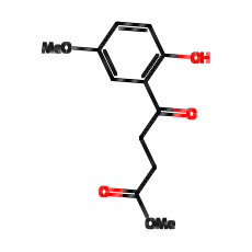 COC(=O)CCC(=O)c1cc(OC)ccc1O